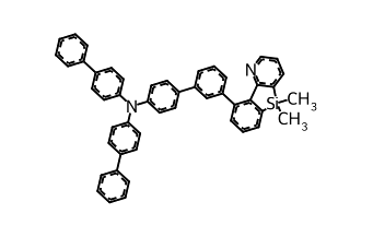 C[Si]1(C)c2cccnc2-c2c(-c3cccc(-c4ccc(N(c5ccc(-c6ccccc6)cc5)c5ccc(-c6ccccc6)cc5)cc4)c3)cccc21